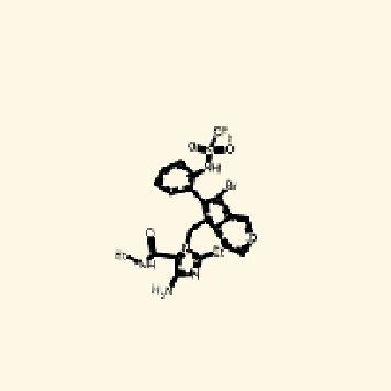 CCNC(=O)c1c(N)nc(CC)n1Cc1c2ccocc-2c(Br)c1-c1ccccc1NS(=O)(=O)C(F)(F)F